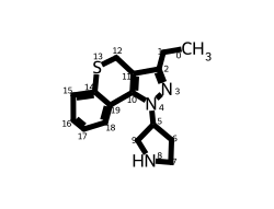 CCc1nn(C2CCNC2)c2c1CSc1ccccc1-2